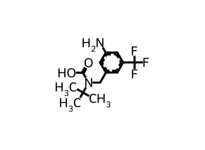 CC(C)(C)N(Cc1cc(N)cc(C(F)(F)F)c1)C(=O)O